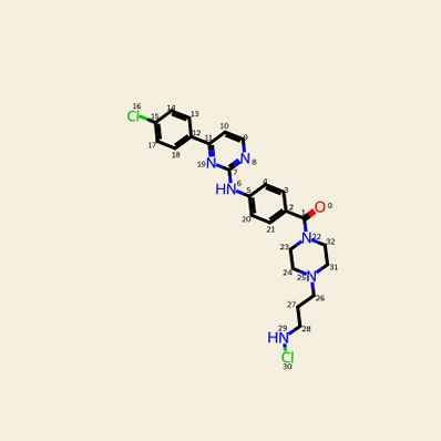 O=C(c1ccc(Nc2nccc(-c3ccc(Cl)cc3)n2)cc1)N1CCN(CCCNCl)CC1